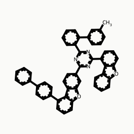 Cc1cccc(-c2ccccc2-c2nc(-c3ccc4c(c3)oc3cccc(-c5ccc(-c6ccccc6)cc5)c34)nc(-c3cccc4oc5ccccc5c34)n2)c1